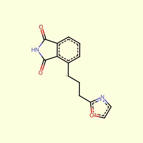 O=C1NC(=O)c2c([CH]CCc3ncco3)cccc21